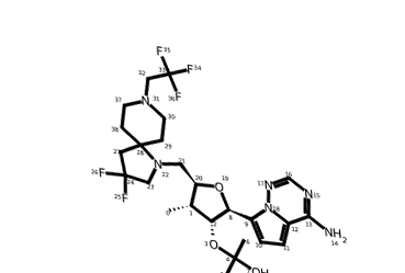 C[C@H]1[C@@H](OC(C)(C)O)[C@H](c2ccc3c(N)ncnn23)O[C@@H]1CN1CC(F)(F)CC12CCN(CC(F)(F)F)CC2